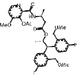 COCc1cc(F)ccc1C(c1ccc(F)cc1COC)[C@H](C)OC(=O)C[C@H](C)NC(=O)c1nccc(OC)c1OC(C)=O